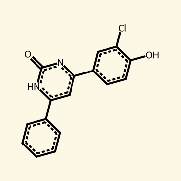 O=c1nc(-c2ccc(O)c(Cl)c2)cc(-c2ccccc2)[nH]1